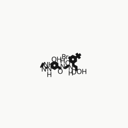 CC(C)(C)c1cc(Br)cc(C(CC(=O)O)NC(=O)CNC(=O)c2cc(O)cc(NC3=NCCN3)c2)c1